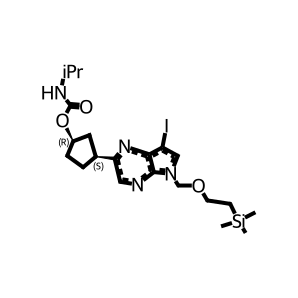 CC(C)NC(=O)O[C@@H]1CC[C@H](c2cnc3c(n2)c(I)cn3COCC[Si](C)(C)C)C1